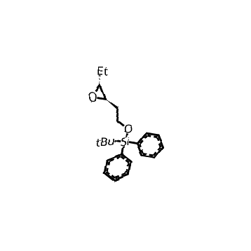 CC[C@H]1O[C@@H]1CCO[Si](c1ccccc1)(c1ccccc1)C(C)(C)C